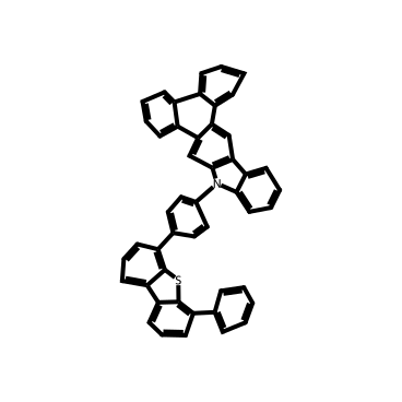 c1ccc(-c2cccc3c2sc2c(-c4ccc(-n5c6ccccc6c6cc7c8ccccc8c8ccccc8c7cc65)cc4)cccc23)cc1